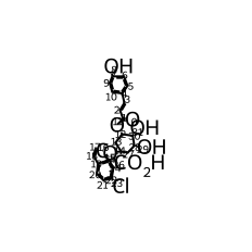 O=C(/C=C/c1ccc(O)cc1)O[C@@H]1C[C@](OC/C=C\c2ccc(Cl)cc2)(C(=O)O)C[C@H](O)[C@H]1O